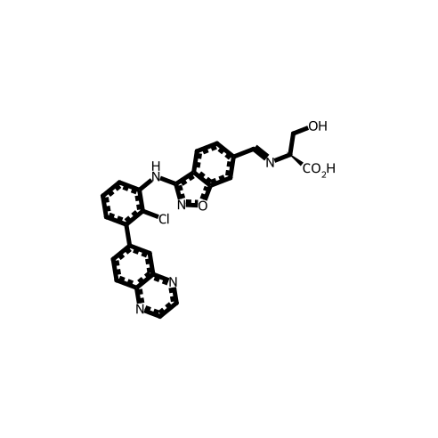 O=C(O)[C@H](CO)N=Cc1ccc2c(Nc3cccc(-c4ccc5nccnc5c4)c3Cl)noc2c1